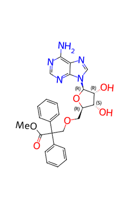 COC(=O)C(COC[C@H]1O[C@@H](n2cnc3c(N)ncnc32)[C@H](O)[C@@H]1O)(c1ccccc1)c1ccccc1